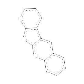 c1ccc2nc3oc4ncccc4c3cc2c1